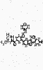 CC(C)CNC(=O)c1ccc(OCCN2CCOCC2)c(-c2ccc3oc(-c4ccc(F)cc4)c(C=O)c3c2)c1